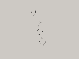 CSc1ccc(-c2ccc(N3C[C@H](Cn4cccn4)OC3=O)cc2F)cc1